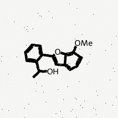 COc1cccc2cc(-c3ccccc3C(C)O)oc12